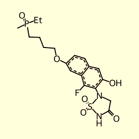 CCP(C)(=O)CCCCOc1ccc2cc(O)c(N3CC(=O)NS3(=O)=O)c(F)c2c1